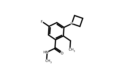 CCc1c(C(=O)NC)cc(F)cc1N1CCC1